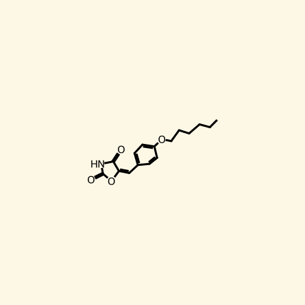 CCCCCCOc1ccc(C=C2OC(=O)NC2=O)cc1